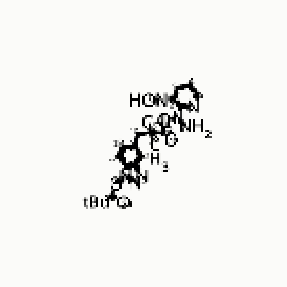 C#[N+]c1cccnc1N(N)OC(=O)C(C)(C)Cc1ccc2c(c1)nnn2OC(=O)C(C)(C)C